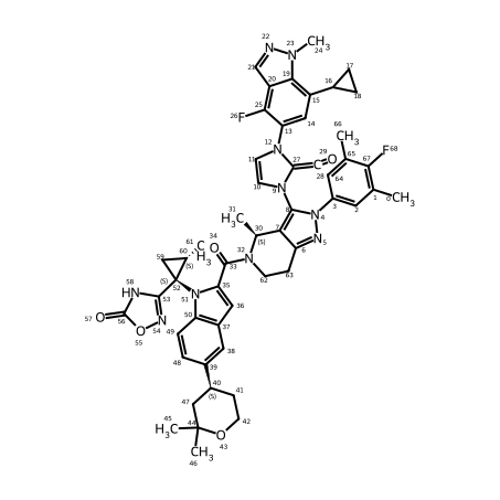 Cc1cc(-n2nc3c(c2N2C=CN(c4cc(C5CC5)c5c(cnn5C)c4F)C2=C=O)[C@H](C)N(C(=O)c2cc4cc([C@H]5CCOC(C)(C)C5)ccc4n2[C@@]2(c4noc(=O)[nH]4)C[C@@H]2C)CC3)cc(C)c1F